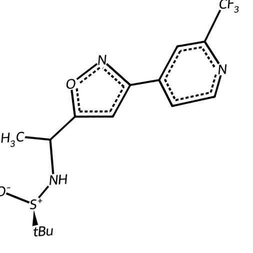 CC(N[S@+]([O-])C(C)(C)C)c1cc(-c2ccnc(C(F)(F)F)c2)no1